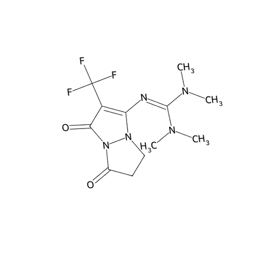 CN(C)C(=Nc1c(C(F)(F)F)c(=O)n2n1CCC2=O)N(C)C